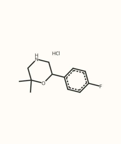 CC1(C)CNCC(c2ccc(F)cc2)O1.Cl